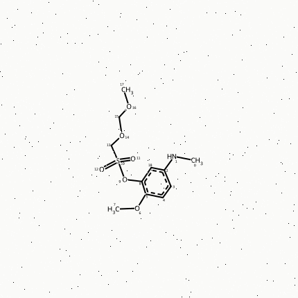 CNc1ccc(OC)c(OS(=O)(=O)COCOC)c1